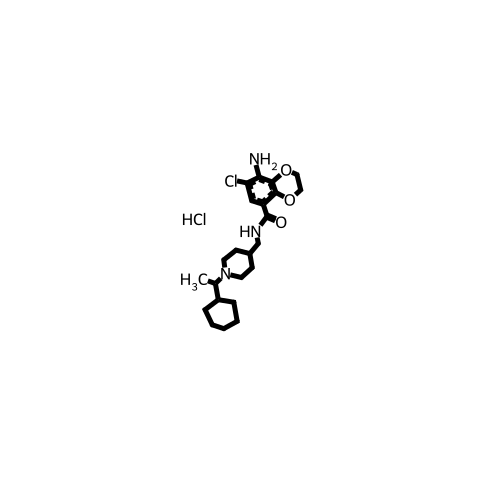 CC(C1CCCCC1)N1CCC(CNC(=O)c2cc(Cl)c(N)c3c2OCCO3)CC1.Cl